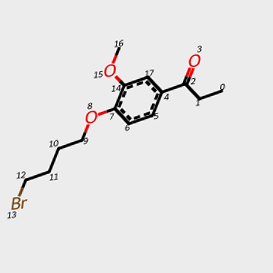 CCC(=O)c1ccc(OCCCCBr)c(OC)c1